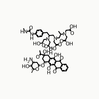 CC(=O)[C@]1(O)Cc2c(O)c3c(c(O)c2[C@@H](O[C@H]2C[C@H](N)[C@H](O)[C@H](C)O2)C1)C(=O)c1ccccc1C3=O.CNC(=O)Nc1ccc(CC(CN(CC(=O)O)CC(C)N(CC(=O)O)CC(=O)O)N(CC(=O)O)CC(=O)O)cc1